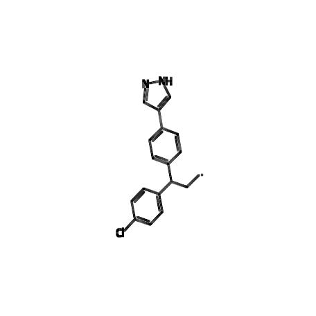 [CH2]CC(c1ccc(Cl)cc1)c1ccc(-c2cn[nH]c2)cc1